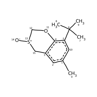 Cc1cc2c(c(C(C)(C)C)c1)OC[S+]([O-])C2